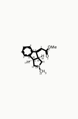 COC(=O)C=C1c2ccccc2[C@@H]2CN(C)C[C@H]12